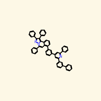 c1ccc(-c2cccc(-c3cc(-c4cccc(-c5cccc6c5cc(-c5ccccc5)n5nc(-c7ccccc7)c(-c7ccccc7)c65)c4)cc(-c4ccccc4)n3)c2)cc1